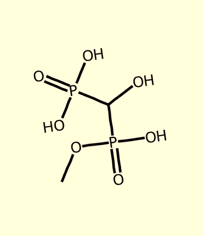 COP(=O)(O)C(O)P(=O)(O)O